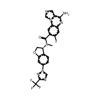 CN(C(=O)c1cc2c(cc1F)nc(N)c1cncn12)[C@@H]1COc2cc(-n3cnc(C(F)(F)F)n3)ccc21